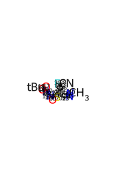 Cn1cc2cc(-c3sc(C(=O)N4CCCN(C(=O)OC(C)(C)C)CC4)cc3-c3ccc(C#N)c(F)c3)ccc2n1